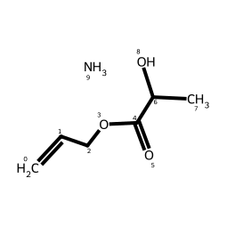 C=CCOC(=O)C(C)O.N